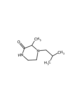 CC(C)CN1CCNC(=O)C1C